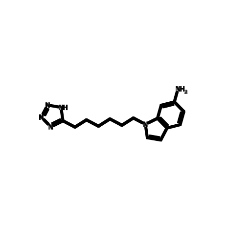 Nc1ccc2ccn(CCCCCCc3nnn[nH]3)c2c1